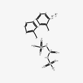 Cc1ccccc1.Cc1ccccc1.O=S(OS(=O)(=O)[O-])OS(=O)(=O)[O-].[K+].[K+]